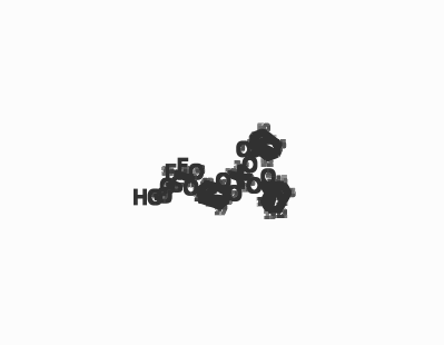 O=C(OCC1(COC(=O)C23CC4CC(CC(C4)C2)C3)COC2(OC1)C1CC3CC2CC(OC(=O)C(F)(F)SOOO)(C3)C1)C12CC3CC(CC(C3)C1)C2